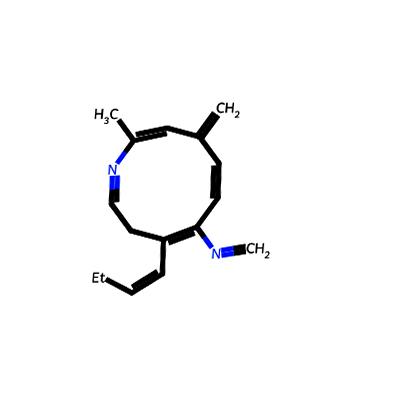 C=NC1=C(\C=C/CC)C/C=N\C(C)=C/C(=C)/C=C\1